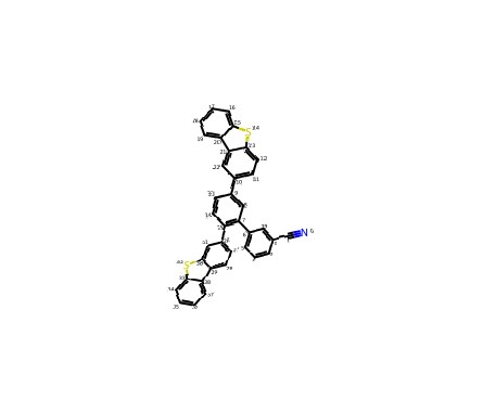 N#Cc1cccc(-c2cc(-c3ccc4sc5ccccc5c4c3)ccc2-c2ccc3c(c2)sc2ccccc23)c1